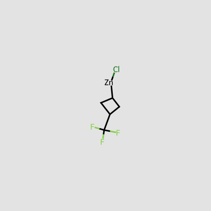 FC(F)(F)C1C[CH]([Zn][Cl])C1